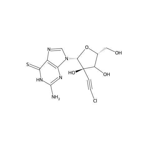 Nc1nc2c(ncn2[C@@H]2O[C@H](CO)C(O)[C@]2(O)C#CCl)c(=S)[nH]1